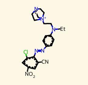 CCN(CC[N+]12CCN(CC1)CC2)c1ccc(N=Nc2c(Cl)cc([N+](=O)[O-])cc2C#N)cc1